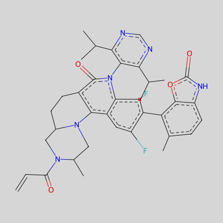 C=CC(=O)N1CC2CCc3c(c4cc(F)c(-c5c(C)ccc6[nH]c(=O)oc56)c(F)c4n(-c4c(C(C)C)ncnc4C(C)C)c3=O)N2CC1C